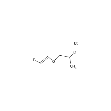 CCOC(C)COC=CF